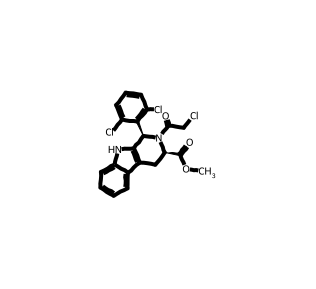 COC(=O)[C@H]1Cc2c([nH]c3ccccc23)[C@@H](c2c(Cl)cccc2Cl)N1C(=O)CCl